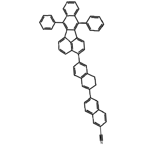 N#Cc1ccc2cc(C3=Cc4ccc(-c5ccc6c7c(cccc57)-c5c-6c(-c6ccccc6)c6ccccc6c5-c5ccccc5)cc4CC3)ccc2c1